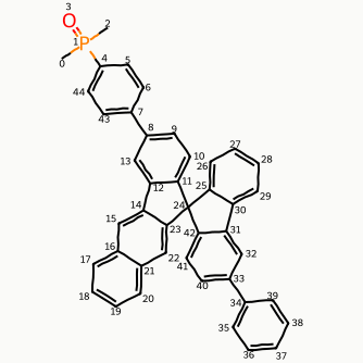 CP(C)(=O)c1ccc(-c2ccc3c(c2)-c2cc4ccccc4cc2C32c3ccccc3-c3cc(-c4ccccc4)ccc32)cc1